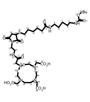 CC(C)(C)OC(=O)NCCCCCNC(=O)CCCCCSC1CC(=O)N(CCNC(=O)CN2CCN(CC(=O)O)CCN(CC(=O)O)CCN(CC(=O)O)CC2)C1=O